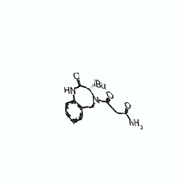 CCC(C)[C@H]1C(=O)Nc2ccccc2CN1C(=O)CC(N)=O